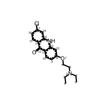 CCN(CC)CCOc1ccc2c(=O)c3ccc(Cl)cc3[nH]c2c1